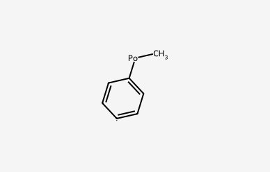 [CH3][Po][c]1cc[c]cc1